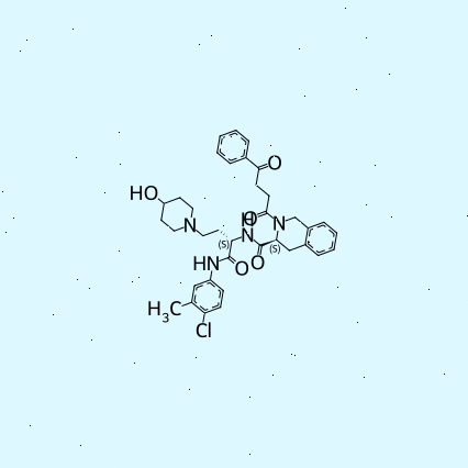 Cc1cc(NC(=O)[C@H](CCN2CCC(O)CC2)NC(=O)[C@@H]2Cc3ccccc3CN2C(=O)CCC(=O)c2ccccc2)ccc1Cl